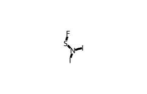 FSN(I)I